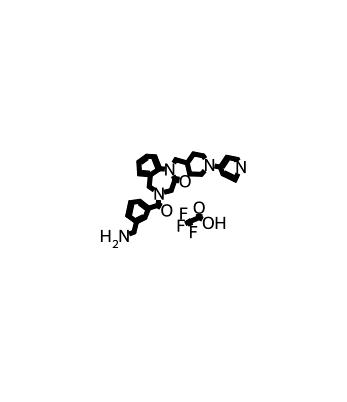 NCc1cccc(C(=O)N2CC(=O)N(CC3CCN(c4ccncc4)CC3)c3ccccc3C2)c1.O=C(O)C(F)(F)F